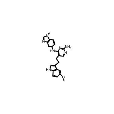 COc1ccc2[nH]cc(CCc3cnc(N)nc3Nc3ccc4c(c3)ncn4C)c2c1